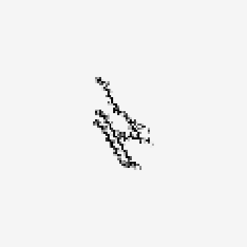 CC(CCN=C=O)CC(C)(C)CN=C=O.O=C=NCCCCCCCCCCCCN=C=O.O=C=NCCCCCCCCN=C=O.O=C=NCCCCCCN=C=O